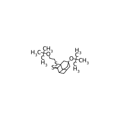 CC(C)(C)OCCSC12CC3CC(CC(OC(C)(C)C)(C3)C1)C2=S